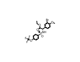 CCOC(=O)[C@@H](NS(=O)(=O)c1ccc(OC(F)(F)F)cc1)c1ccc(OC)c(Br)c1